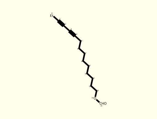 CCC#CC#CCCCCCCCCCOC=O